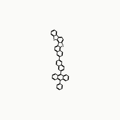 c1ccc(-c2c3ccccc3c(-c3ccc4cc(-c5ccc6c(ccc7c6sc6ccc8c9ccccc9sc8c67)c5)ccc4c3)c3ccccc23)cc1